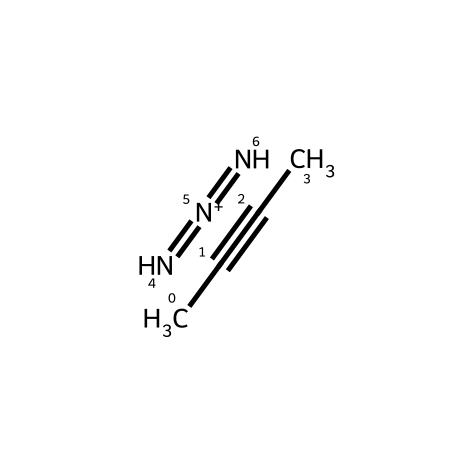 CC#CC.N=[N+]=N